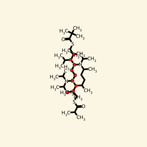 CC(C)C(=O)SCOCOCOP(N(C(C)C)C(C)C)N(C(C)C)C(C)CCC(C)N(C(C)C)P(OCOCOCSC(=O)C(C)(C)C)N(C(C)C)C(C)C